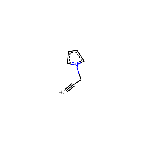 C#CCn1c[c]cc1